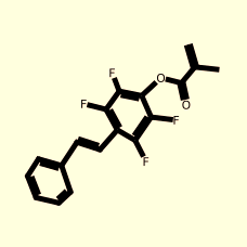 C=C(C)C(=O)Oc1c(F)c(F)c(C=Cc2ccccc2)c(F)c1F